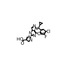 O=C(O)c1cnn(-c2nc(O)c3c(cnn3C(c3ccc(F)c(Cl)c3)C3CC3)n2)c1